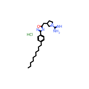 CCCCCCCCCCc1ccc(-c2noc(CC3CCN(C(=N)N)C3)n2)cc1.Cl